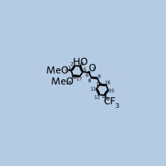 COc1cc(O)c(C(=O)/C=C/c2ccc(C(F)(F)F)cc2)cc1OC